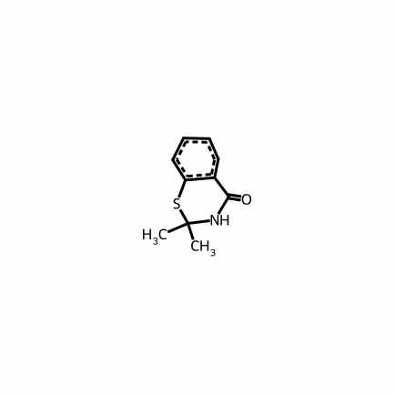 CC1(C)NC(=O)c2ccccc2S1